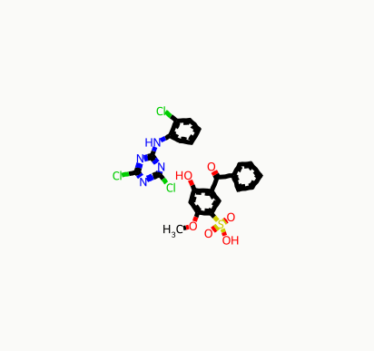 COc1cc(O)c(C(=O)c2ccccc2)cc1S(=O)(=O)O.Clc1nc(Cl)nc(Nc2ccccc2Cl)n1